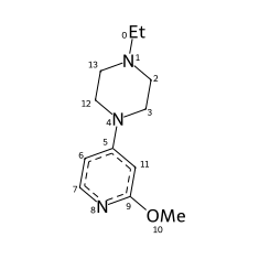 CCN1CCN(c2ccnc(OC)c2)CC1